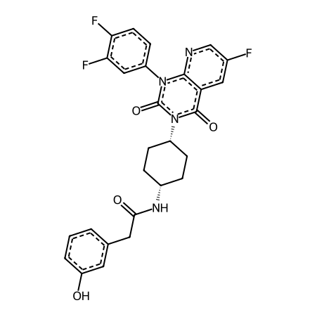 O=C(Cc1cccc(O)c1)N[C@H]1CC[C@@H](n2c(=O)c3cc(F)cnc3n(-c3ccc(F)c(F)c3)c2=O)CC1